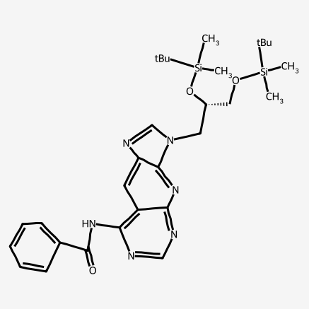 CC(C)(C)[Si](C)(C)OC[C@H](Cn1cnc2cc3c(NC(=O)c4ccccc4)ncnc3nc21)O[Si](C)(C)C(C)(C)C